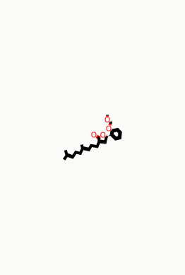 COCOc1ccccc1[C@@H]1C=C(CC/C=C(\C)CCC=C(C)C)C(=O)O1